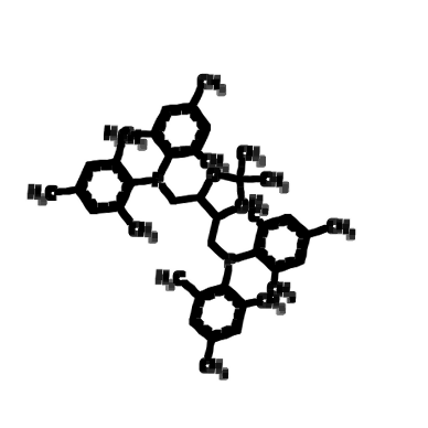 Cc1cc(C)c(P(CC2OC(C)(C)OC2CP(c2c(C)cc(C)cc2C)c2c(C)cc(C)cc2C)c2c(C)cc(C)cc2C)c(C)c1